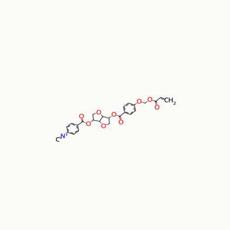 [C-]#[N+]c1ccc(C(=O)OC2COC3C(OC(=O)c4ccc(OCOC(=O)C=C)cc4)COC23)cc1